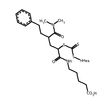 CCCCCCSC(=S)SC(CC(CCc1ccccc1)C(=O)N(C)C)C(=O)NCCCCC(=O)O